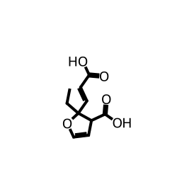 CCC1(C=CC(=O)O)OC=CC1C(=O)O